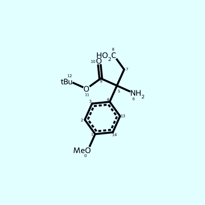 COc1ccc(C(N)(CC(=O)O)C(=O)OC(C)(C)C)cc1